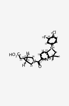 CC1(C)CN(c2ccc(Cl)c(F)c2)c2ccc(C(=O)N3C[C@@H]4[C@@H](CC(=O)O)[C@@H]4C3)nc21